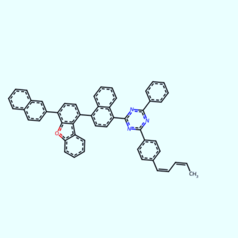 C/C=C\C=C/c1ccc(-c2nc(-c3ccccc3)nc(-c3ccc(-c4ccc(-c5ccc6ccccc6c5)c5oc6ccccc6c45)c4ccccc34)n2)cc1